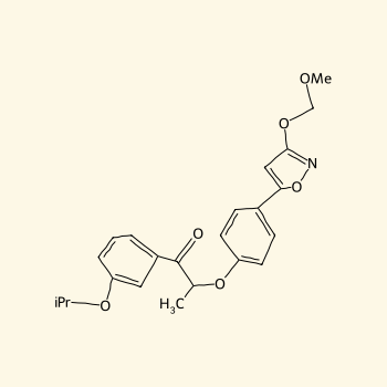 COCOc1cc(-c2ccc(OC(C)C(=O)c3cccc(OC(C)C)c3)cc2)on1